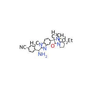 CCOC(=O)N(C)C(C)(C(=O)N1CCCC1)c1ccc2c(c1)nc(C(N)c1ccc(C#N)cc1)n2C